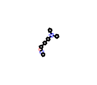 c1ccc(-c2nc(-c3ccccc3)nc(-c3ccc(-c4ccc(-c5ccc6oc7nc8ccccc8nc7c6c5)cc4)cc3)n2)cc1